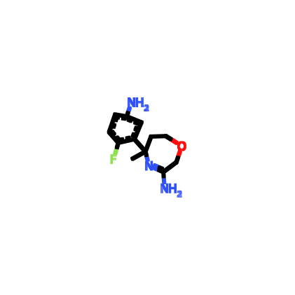 CC1(c2cc(N)ccc2F)CCOCC(N)=N1